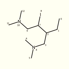 CCC(CN(C)C)C(I)CN(C)C